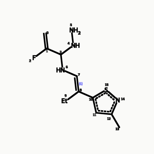 C=C(F)C(NN)N/C=C(\CC)c1cc(C)ns1